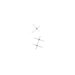 [O]C(F)(F)C(F)(Cl)OC(Cl)(Cl)Cl